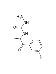 CC(NC(=O)NN)C(=O)c1cccc(F)c1